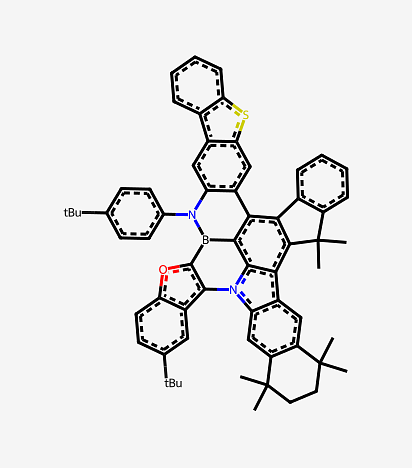 CC(C)(C)c1ccc(N2B3c4oc5ccc(C(C)(C)C)cc5c4-n4c5cc6c(cc5c5c7c(c(c3c54)-c3cc4sc5ccccc5c4cc32)-c2ccccc2C7(C)C)C(C)(C)CCC6(C)C)cc1